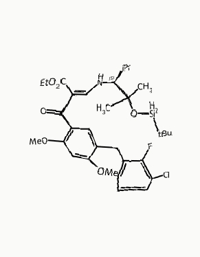 CCOC(=O)C(=CN[C@@H](C(C)C)C(C)(C)O[SiH2]C(C)(C)C)C(=O)c1cc(Cc2cccc(Cl)c2F)c(OC)cc1OC